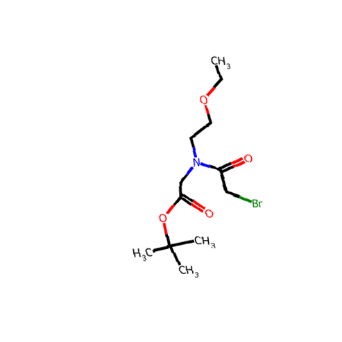 CCOCCN(CC(=O)OC(C)(C)C)C(=O)CBr